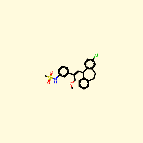 COC/C(=C\C1c2ccccc2CCc2cc(Cl)ccc21)c1cccc(NS(C)(=O)=O)c1